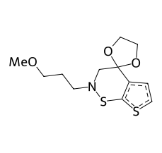 COCCCN1CC2(OCCO2)c2ccsc2S1